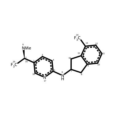 CN[C@@H](c1ccc(NC2Cc3cccc(C(F)(F)F)c3C2)nc1)C(F)(F)F